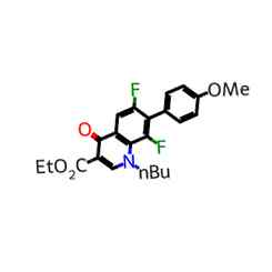 CCCCn1cc(C(=O)OCC)c(=O)c2cc(F)c(-c3ccc(OC)cc3)c(F)c21